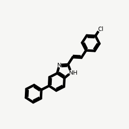 Clc1ccc(/C=C/c2nc3cc(-c4ccccc4)ccc3[nH]2)cc1